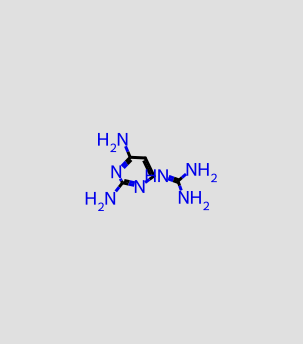 N=C(N)N.Nc1ccnc(N)n1